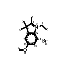 CC[N+]1=C(C)C(C)(C)c2cc(OC)ccc21.[Br-]